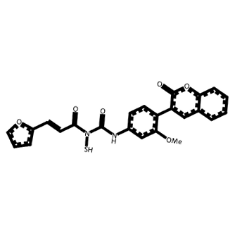 COc1cc(NC(=O)N(S)C(=O)/C=C/c2ccco2)ccc1-c1cc2ccccc2oc1=O